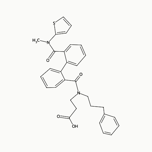 CN(C(=O)c1ccccc1-c1ccccc1C(=O)N(CCCc1ccccc1)CCC(=O)O)c1cccs1